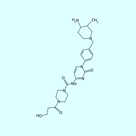 CC1CN(Cc2ccc(-n3ccc(NC(=O)N4CCN(C(=O)CCO)CC4)nc3=O)cc2)CCC1N